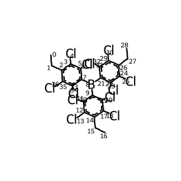 CCc1c(Cl)c(Cl)c(B(c2c(Cl)c(Cl)c(CC)c(Cl)c2Cl)c2c(Cl)c(Cl)c(CC)c(Cl)c2Cl)c(Cl)c1Cl